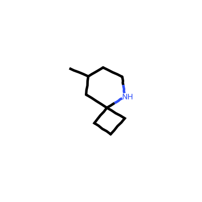 CC1CCNC2(CCC2)C1